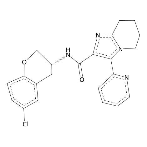 O=C(N[C@H]1COc2ccc(Cl)cc2C1)c1nc2n(c1-c1ccccn1)CCCC2